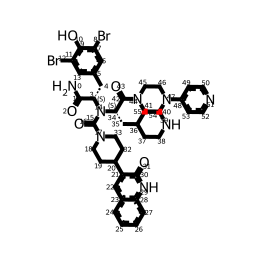 NC(=O)[C@H](Cc1cc(Br)c(O)c(Br)c1)N(C(=O)N1CCC(c2cc3ccccc3[nH]c2=O)CC1)[C@@H](CC1CCNCC1)C(=O)N1CCN(c2ccncc2)CC1